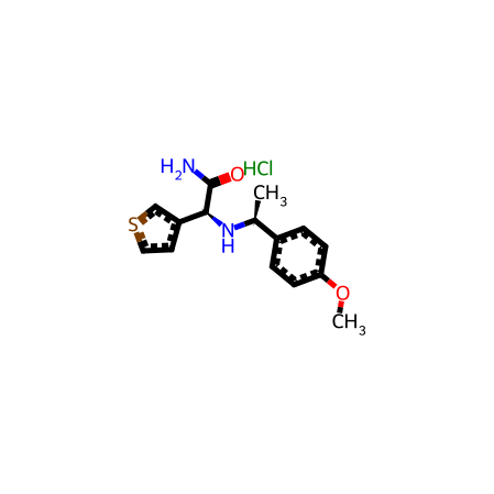 COc1ccc([C@H](C)N[C@H](C(N)=O)c2ccsc2)cc1.Cl